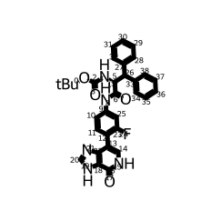 CC(C)(C)OC(=O)N[C@H](C(=O)Nc1ccc(-c2c[nH]c(=O)c3[nH]cnc23)c(F)c1)C(c1ccccc1)c1ccccc1